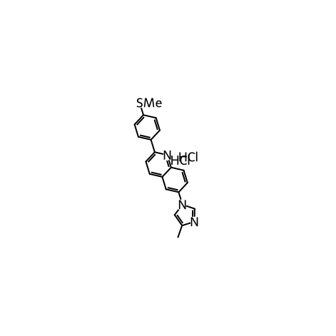 CSc1ccc(-c2ccc3cc(-n4cnc(C)c4)ccc3n2)cc1.Cl.Cl